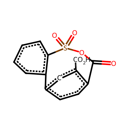 O=C(O)c1cc2ccc1C(=O)OS(=O)(=O)c1ccccc1-2